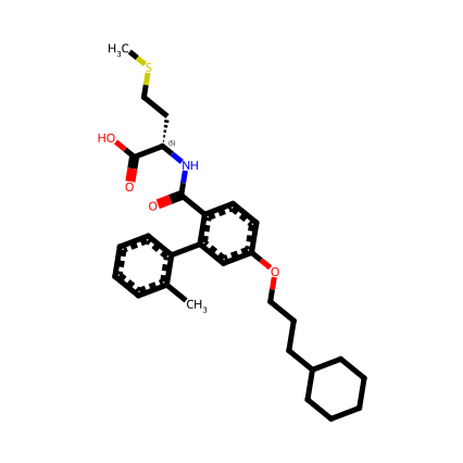 CSCC[C@H](NC(=O)c1ccc(OCCCC2CCCCC2)cc1-c1ccccc1C)C(=O)O